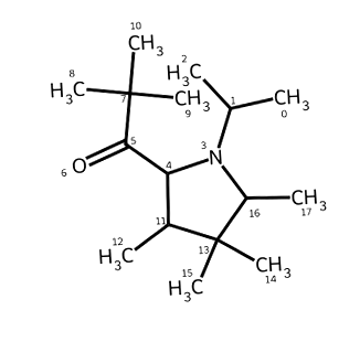 CC(C)N1C(C(=O)C(C)(C)C)C(C)C(C)(C)C1C